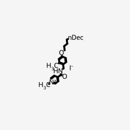 CCCCCCCCCCCCCCOc1ccc(CNC(=O)c2cc[n+](C)cc2)c(C)c1.[I-]